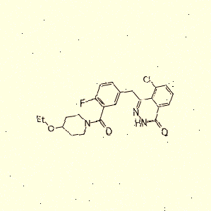 CCOC1CCN(C(=O)c2cc(Cc3n[nH]c(=O)c4cccc(Cl)c34)ccc2F)CC1